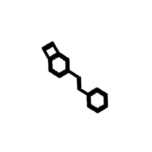 C(=Cc1ccc2c(c1)C=C2)c1ccccc1